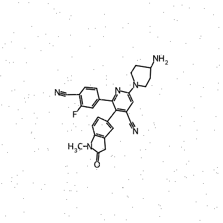 CN1C(=O)Cc2cc(-c3c(C#N)cc(N4CCC(N)CC4)nc3-c3ccc(C#N)c(F)c3)ccc21